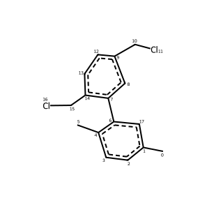 Cc1ccc(C)c(-c2cc(CCl)ccc2CCl)c1